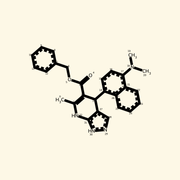 CC1=C(C(=O)OCc2ccccc2)C(c2ccc(N(C)C)c3ccccc23)c2cn[nH]c2N1